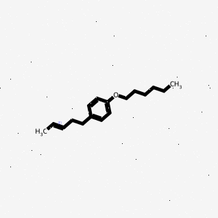 C/C=C/CCc1ccc(OCCCCCC)cc1